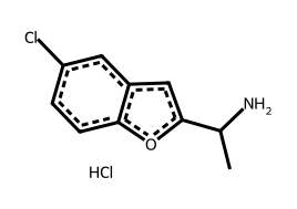 CC(N)c1cc2cc(Cl)ccc2o1.Cl